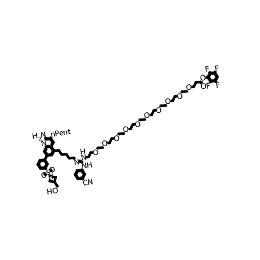 CCCCCc1cc2c(CCCCC/N=C(\NCCOCCOCCOCCOCCOCCOCCOCCOCCOCCOCCC(=O)Oc3c(F)c(F)cc(F)c3F)Nc3cccc(C#N)c3)cc(-c3cccc(S(=O)(=O)N4CC(CO)C4)c3)cc2nc1N